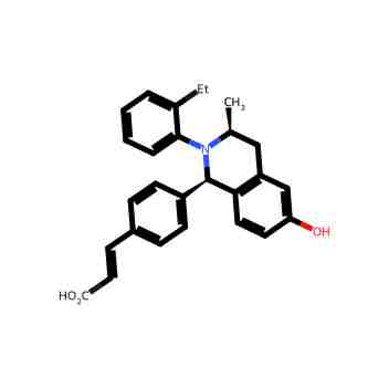 CCc1ccccc1N1[C@H](c2ccc(/C=C/C(=O)O)cc2)c2ccc(O)cc2C[C@@H]1C